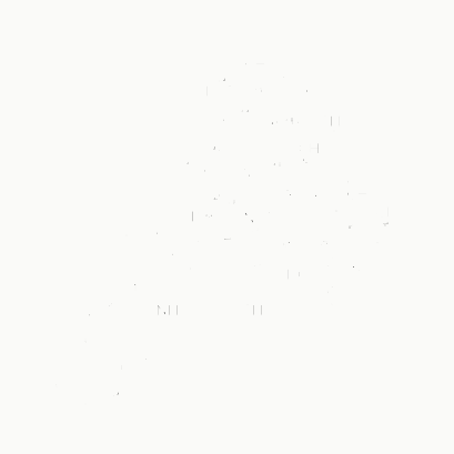 Cc1cc(-c2cccc3c2[nH]c2cc4ccccc4cc23)c2c(c1)N(c1ccc3c(c1)C(C)(C)CCC3(C)C)c1c(sc3cc4c(cc13)C(C)(C)CCC4(C)C)B2